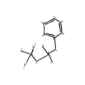 CC(F)(F)CC(C)(C)Cc1ccccc1